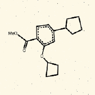 COC(=O)c1ccc(C2CCCC2)cc1OC1CCC1